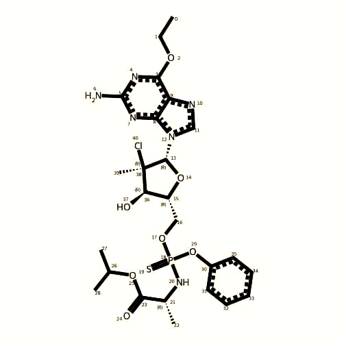 CCOc1nc(N)nc2c1ncn2[C@@H]1O[C@H](COP(=S)(N[C@H](C)C(=O)OC(C)C)Oc2ccccc2)[C@@H](O)[C@@]1(C)Cl